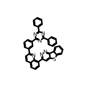 c1ccc(-c2nc(-c3ccccc3)nc(-c3cccc(-c4ccc5cccc(-c6cc7sc8ccccc8c7nn6)c5n4)c3)n2)cc1